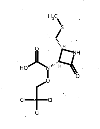 CSC[C@@H]1NC(=O)[C@@H]1N(OCC(Cl)(Cl)Cl)C(=O)O